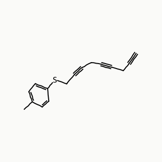 C#CCC#CCC#CCSc1ccc(C)cc1